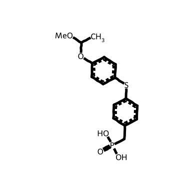 COC(C)Oc1ccc(Sc2ccc(CP(=O)(O)O)cc2)cc1